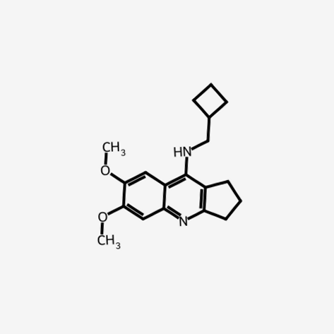 COc1cc2nc3c(c(NCC4CCC4)c2cc1OC)CCC3